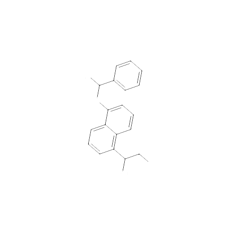 CCC(C)c1cccc2c(OC(C)c3ccccc3)cccc12